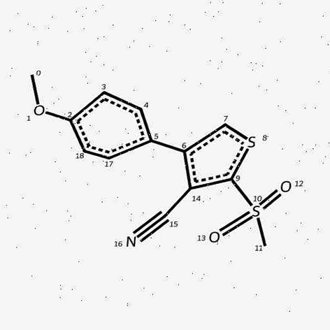 COc1ccc(-c2csc(S(C)(=O)=O)c2C#N)cc1